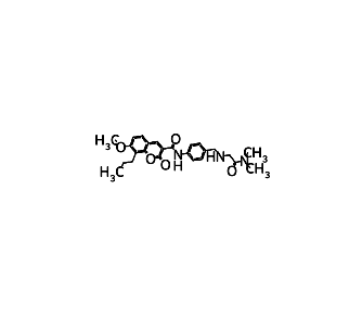 CCCc1c(OC)ccc2cc(C(=O)Nc3ccc(CNCC(=O)N(C)C)cc3)c(=O)oc12